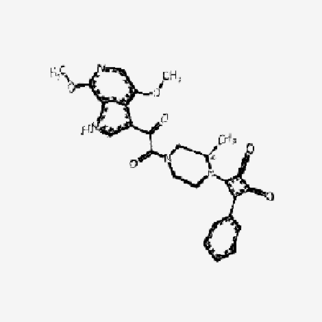 COc1ncc(OC)c2c(C(=O)C(=O)N3CCN(c4c(-c5ccccc5)c(=O)c4=O)[C@H](C)C3)c[nH]c12